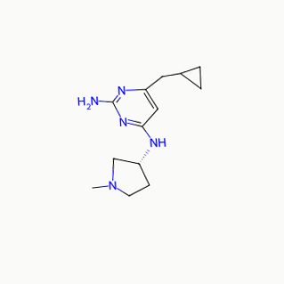 CN1CC[C@@H](Nc2cc(CC3CC3)nc(N)n2)C1